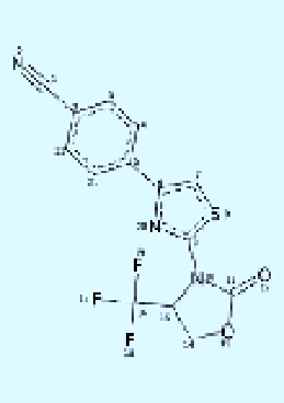 N#Cc1ccc(-c2csc(N3C(=O)OCC3C(F)(F)F)n2)cc1